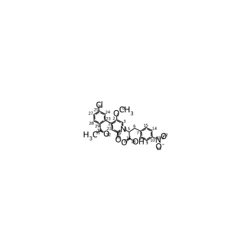 COc1cn(C(Cc2ccc([N+](=O)[O-])cc2)C(=O)O)c(=O)cc1-c1cc(Cl)ccc1C(C)=O